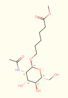 COC(=O)CCCCCO[C@H]1O[C@H](CO)[C@@H](O)[C@H](O)[C@@H]1NC(C)=O